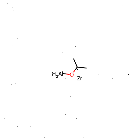 CC(C)[O][AlH2].[Zr]